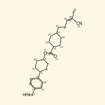 CCCCCCc1ccc(C2CCC(OC(=O)C3CCC(CC/C=C(/F)C#N)CC3)CC2)cc1